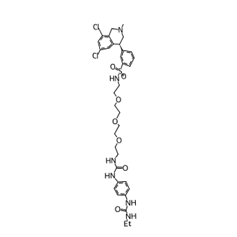 CCNC(=O)Nc1ccc(NC(=O)NCCOCCOCCOCCNS(=O)(=O)c2cccc([C@@H]3CN(C)Cc4c(Cl)cc(Cl)cc43)c2)cc1